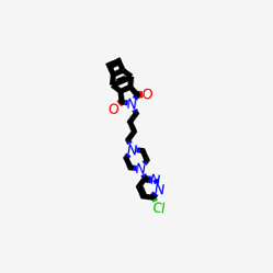 O=C1C2C3C=CC(C4C=CC43)C2C(=O)N1CCCCN1CCN(c2ccc(Cl)nn2)CC1